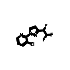 FC(F)C(F)c1ccn(-c2ncccc2Cl)n1